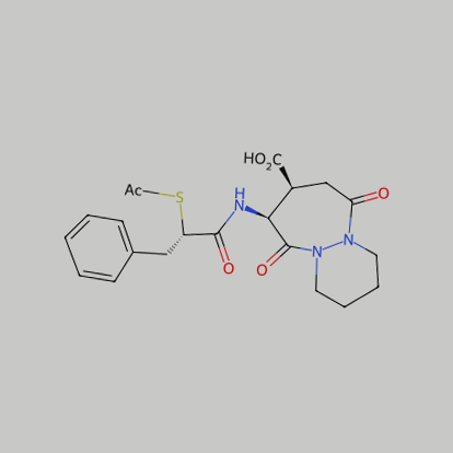 CC(=O)S[C@@H](Cc1ccccc1)C(=O)N[C@@H]1C(=O)N2CCCCN2C(=O)C[C@@H]1C(=O)O